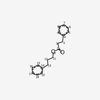 O=C(CCc1ccccc1)OCCCc1ccccc1